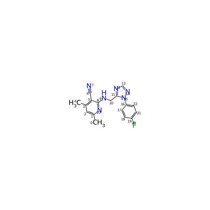 Cc1cc(C)c(C#N)c(NCc2ncnn2-c2ccc(F)cc2)n1